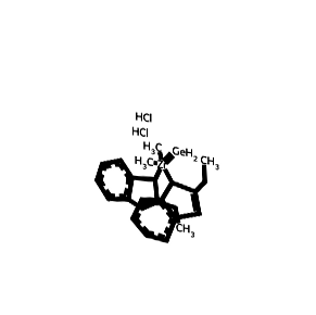 CCC1=Cc2ccccc2[CH]1[Zr]([CH3])([CH3])(=[GeH2])[CH]1C(CC)=Cc2ccccc21.Cl.Cl